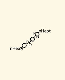 CCCCCCCc1cnc(-c2ccc(C(=O)O[C@H]3CC[C@H](OCCCCCC)CC3)cc2)nc1